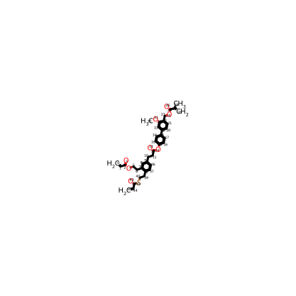 C=CC(=O)OCCc1cc(CCC(=O)Oc2ccc(-c3ccc(COC(=O)C(=C)C)c(OC)c3)cc2)ccc1CCSC(=O)C=C